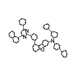 c1ccc(-c2ccc(N(c3cccc(-c4ccccc4)c3)c3ccc4c(c3)oc3cccc(-c5cccc(-c6nc(-c7ccccc7)cc(-c7cccc8ccccc78)n6)c5)c34)cc2)cc1